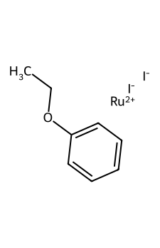 CCOc1ccccc1.[I-].[I-].[Ru+2]